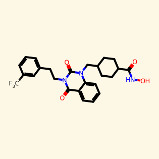 O=C(NO)C1CCC(Cn2c(=O)n(CCc3cccc(C(F)(F)F)c3)c(=O)c3ccccc32)CC1